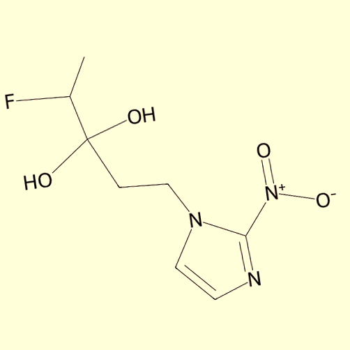 CC(F)C(O)(O)CCn1ccnc1[N+](=O)[O-]